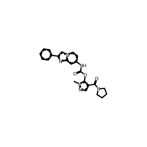 Cn1ncc(C(=O)N2CCCC2)c1OC(=O)Nc1ccn2cc(-c3ccccc3)nc2c1